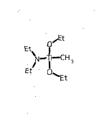 CC[O][Ti]([CH3])([O]CC)[N](CC)CC